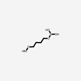 CCCCOCCCCON(O)O